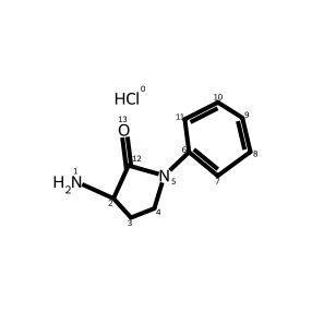 Cl.NC1CCN(c2ccccc2)C1=O